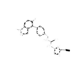 C#Cc1nc(NC(=O)NCc2ccc(-c3c(C)ccc4c3cnn4C)cc2)cs1